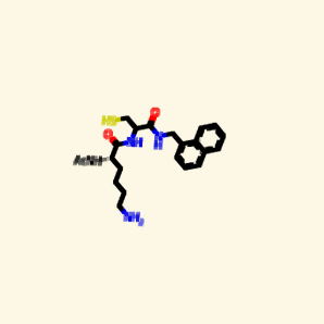 CC(=O)N[C@@H](CCCCN)C(=O)NC(CS)C(=O)NCc1cccc2ccccc12